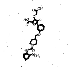 COc1ccccc1NC(=O)N1CCC(COc2cccc(-c3sc(C(=O)O)c(OCC(=O)O)c3Cl)c2)CC1